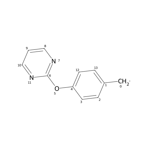 [CH2]c1ccc(Oc2ncccn2)cc1